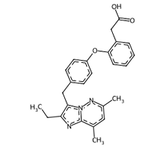 CCc1nc2c(C)cc(C)nn2c1Cc1ccc(Oc2ccccc2CC(=O)O)cc1